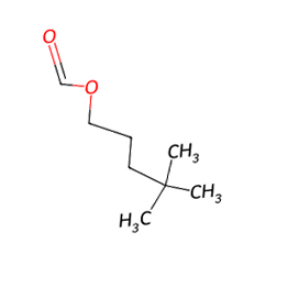 CC(C)(C)CCCOC=O